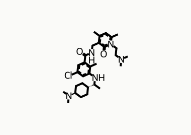 Cc1cc(C)n(CCN(C)C)c(=O)c1CNC(=O)c1cc(Cl)cc(NC(C)[C@H]2CC[C@H](N(C)C)CC2)c1C